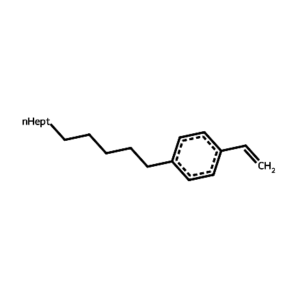 C=Cc1ccc(CCCCCCCCCCCC)cc1